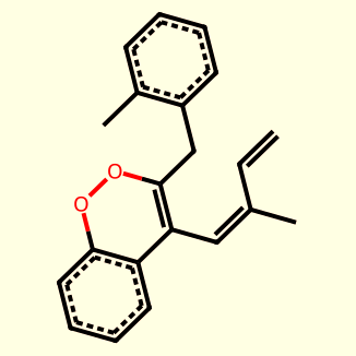 C=C/C(C)=C\C1=C(Cc2ccccc2C)OOc2ccccc21